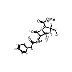 COC(=O)C1N2C(=O)C(NC(=O)Cc3ccccc3)[C@@H]2SC1(C)CI